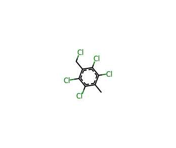 Cc1c(Cl)c(Cl)c(CCl)c(Cl)c1Cl